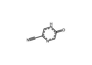 N#Cc1c[nH]c(=O)cn1